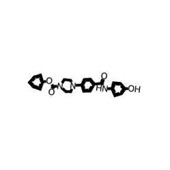 O=C(Nc1ccc(O)cc1)c1ccc(N2CCN(C(=O)Oc3ccccc3)CC2)cc1